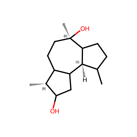 CC1CCC2[C@@H]1C1CC(O)[C@H](C)C1CC[C@@]2(C)O